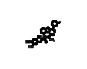 CC(NC(=O)C(O)Cc1ccc(O)c(O)c1)C(=O)N1C(C(=O)N2CCCC(F)C2)CC2CCCCC21